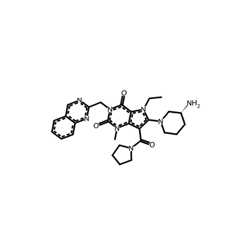 CCn1c(N2CCC[C@@H](N)C2)c(C(=O)N2CCCC2)c2c1c(=O)n(Cc1ncc3ccccc3n1)c(=O)n2C